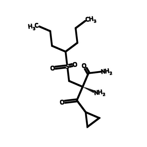 CCCC(CCC)S(=O)(=O)C[C@@](N)(C(N)=O)C(=O)C1CC1